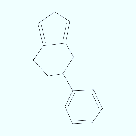 C1=C2CCC(c3ccccc3)CC2=CC1